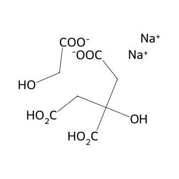 O=C([O-])CC(O)(CC(=O)O)C(=O)O.O=C([O-])CO.[Na+].[Na+]